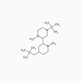 CN1CCC(CC(C)(C)C)CC1C1CN(C(C)(C)C)CCN1C